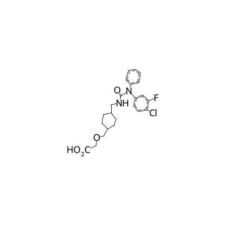 O=C(O)COCC1CCC(CNC(=O)N(c2ccccc2)c2ccc(Cl)c(F)c2)CC1